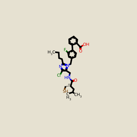 CCCCc1nc(Cl)c(CNC(=O)[C@@H](CS)CC(C)C)n1Cc1ccc(-c2ccccc2C(=O)O)c(F)c1